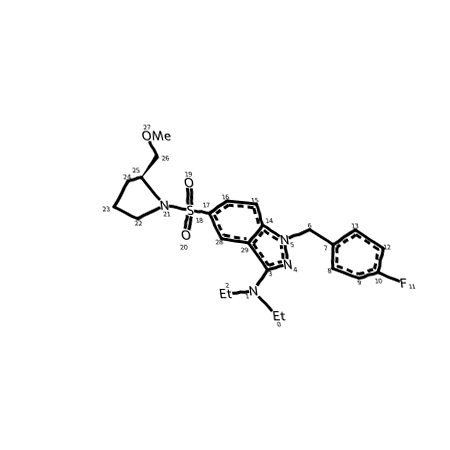 CCN(CC)c1nn(Cc2ccc(F)cc2)c2ccc(S(=O)(=O)N3CCC[C@H]3COC)cc12